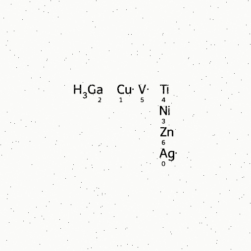 [Ag].[Cu].[GaH3].[Ni].[Ti].[V].[Zn]